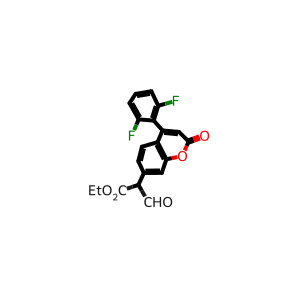 CCOC(=O)C(C=O)c1ccc2c(-c3c(F)cccc3F)cc(=O)oc2c1